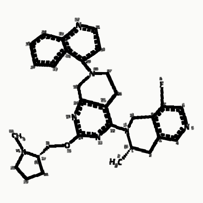 C[C@H]1Cc2cncc(F)c2CN1c1nc(OC[C@@H]2CCCN2C)nc2c1CCN(c1ccnc3ccccc13)C2